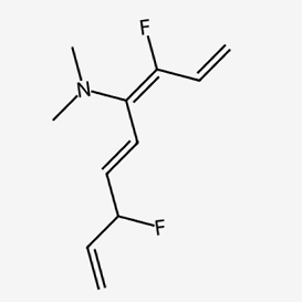 C=C/C(F)=C(\C=CC(F)C=C)N(C)C